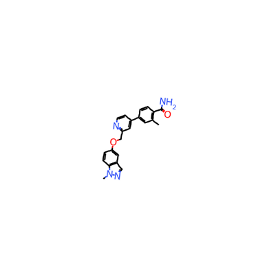 Cc1cc(-c2ccnc(COc3ccc4c(cnn4C)c3)c2)ccc1C(N)=O